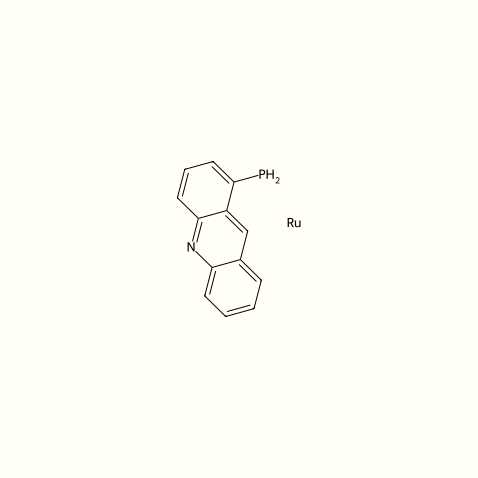 Pc1cccc2nc3ccccc3cc12.[Ru]